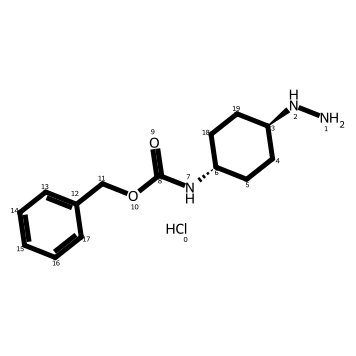 Cl.NN[C@H]1CC[C@H](NC(=O)OCc2ccccc2)CC1